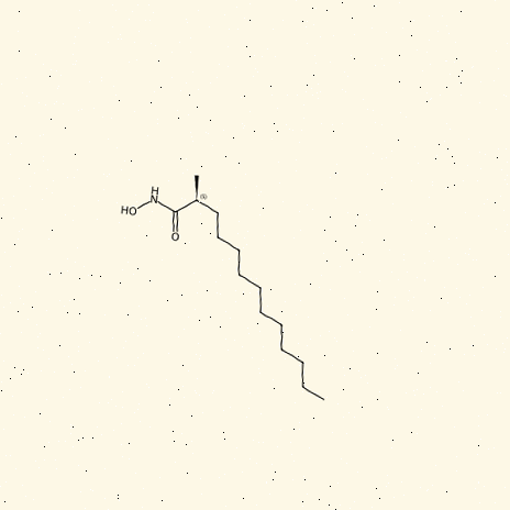 CCCCCCCCCCC[C@H](C)C(=O)NO